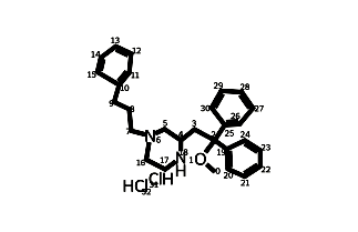 COC(CC1CN(CCCc2ccccc2)CCN1)(c1ccccc1)c1ccccc1.Cl.Cl